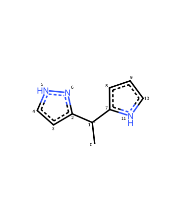 C[C](c1cc[nH]n1)c1ccc[nH]1